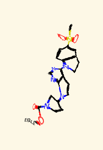 CC(C)(C)OC(=O)N1CCC(n2ccc3c(N4CCc5cc(S(C)(=O)=O)ccc54)ncnc32)C1